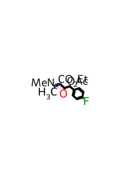 CCOC(=O)/C(C(=O)C(OC(C)=O)c1ccc(F)cc1)=C(/C)NC